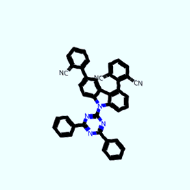 N#Cc1ccccc1-c1ccc2c(c1)c1c(-c3c(C#N)cccc3C#N)cccc1n2-c1nc(-c2ccccc2)nc(-c2ccccc2)n1